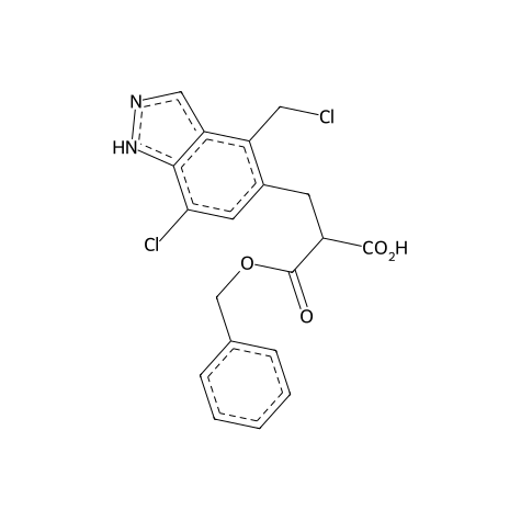 O=C(O)C(Cc1cc(Cl)c2[nH]ncc2c1CCl)C(=O)OCc1ccccc1